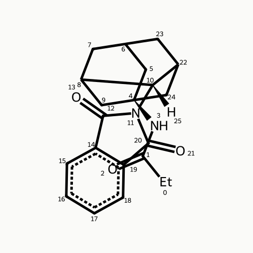 CCC(=O)N[C@]12CC3CC(C1)[C@@H](N1C(=O)c4ccccc4C1=O)C(C3)C2